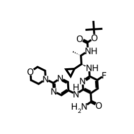 C[C@H](NC(=O)OC(C)(C)C)[C@H](Nc1nc(Nc2cnc(N3CCOCC3)nc2)c(C(N)=O)cc1F)C1CC1